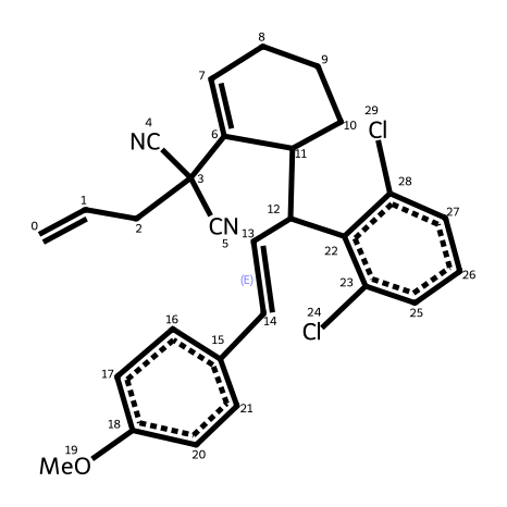 C=CCC(C#N)(C#N)C1=CCCCC1C(/C=C/c1ccc(OC)cc1)c1c(Cl)cccc1Cl